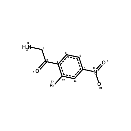 NCC(=O)c1ccc([N+](=O)[O-])cc1Br